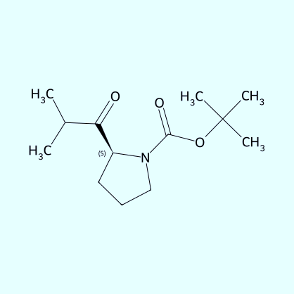 CC(C)C(=O)[C@@H]1CCCN1C(=O)OC(C)(C)C